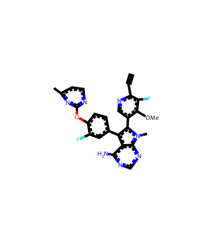 C#Cc1ncc(-c2c(-c3ccc(Oc4nccc(C)n4)c(F)c3)c3c(N)ncnc3n2C)c(OC)c1F